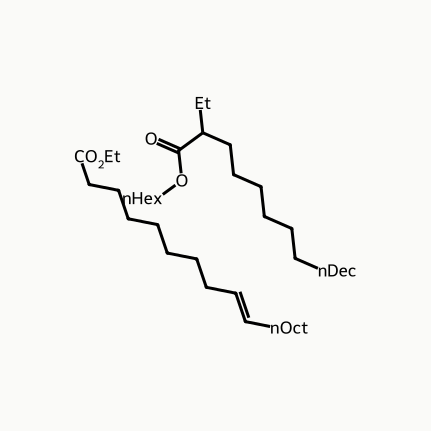 CCCCCCCCC=CCCCCCCCC(=O)OCC.CCCCCCCCCCCCCCCCC(CC)C(=O)OCCCCCC